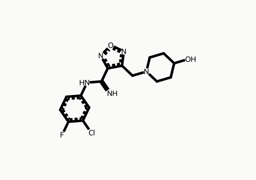 N=C(Nc1ccc(F)c(Cl)c1)c1nonc1CN1CCC(O)CC1